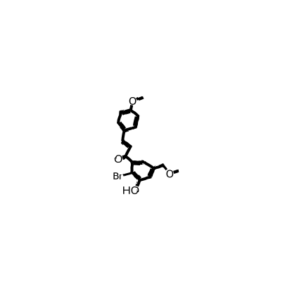 COCc1cc(O)c(Br)c(C(=O)/C=C/c2ccc(OC)cc2)c1